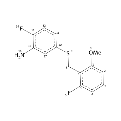 COc1cccc(F)c1CSc1ccc(F)c(N)c1